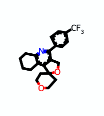 FC(F)(F)c1ccc(-c2nc3c(c4c2COC42CCOCC2)CCCC3)cc1